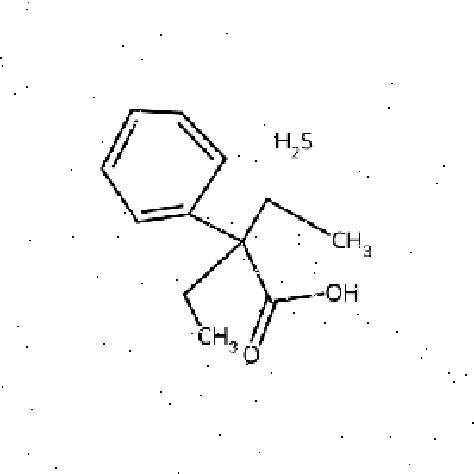 CCC(CC)(C(=O)O)c1ccccc1.S